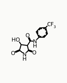 O=C1NC(=O)C(C(=O)Nc2ccc(C(F)(F)F)cc2)C1O